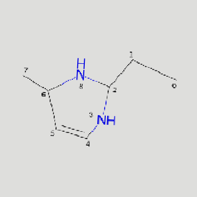 CCC1NC=CC(C)N1